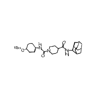 CC(C)(C)OC1CCC(NC(=O)N2CCC(C(=O)NC3C4CC5CC(C4)CC3C5)CC2)CC1